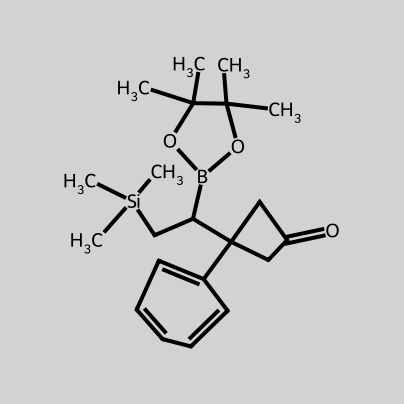 CC1(C)OB(C(C[Si](C)(C)C)C2(c3ccccc3)CC(=O)C2)OC1(C)C